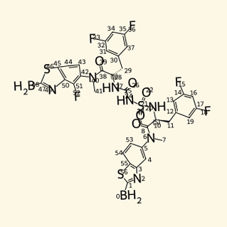 Bc1nc2cc(N(C)C(=O)[C@H](Cc3cc(F)cc(F)c3)NS(=O)(=O)NC(=O)N[C@@H](Cc3cc(F)cc(F)c3)C(=O)N(C)c3ccc4sc(B)nc4c3F)ccc2s1